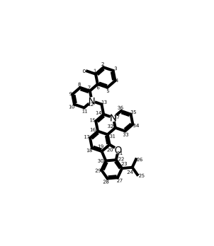 Cc1ccccc1C1=CC=CCN1CC1=Cc2ccc3c(oc4c(C(C)C)cccc43)c2C2C=CC=CN12